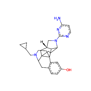 Nc1ccnc(N2C[C@H]3CC45CCC2C3C42CCN(CC3CC3)C5Cc3ccc(O)cc32)n1